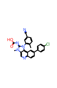 Cc1ccc(C#N)cc1-n1c(=NC(=O)O)n(C)c2cnc3ccc(-c4ccc(Cl)cc4)cc3c21